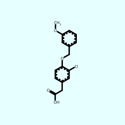 COc1cccc(COc2ccc(CC(=O)O)cc2Cl)c1